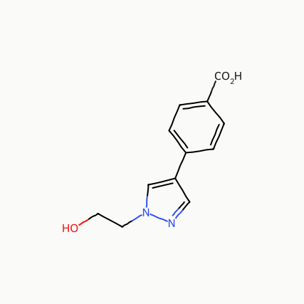 O=C(O)c1ccc(-c2cnn(CCO)c2)cc1